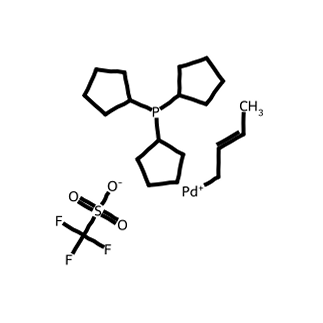 C1CCC(P(C2CCCC2)C2CCCC2)C1.CC=C[CH2][Pd+].O=S(=O)([O-])C(F)(F)F